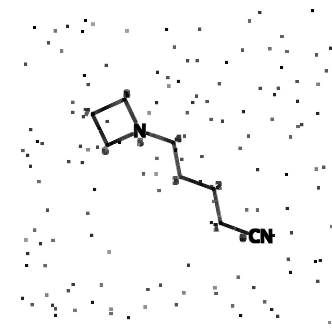 N#CCCCCN1CCC1